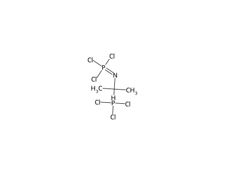 CC(C)(N=P(Cl)(Cl)Cl)[PH](Cl)(Cl)Cl